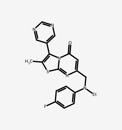 CCN(Cc1cc(=O)n2c(-c3cncnc3)c(C)sc2n1)c1ccc(F)cc1